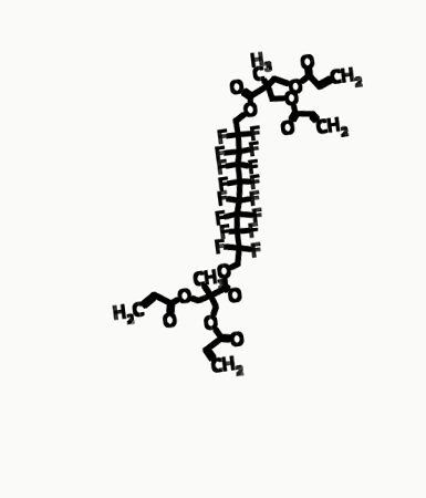 C=CC(=O)OCC(C)(COC(=O)C=C)C(=O)OCC(F)(F)C(F)(F)C(F)(F)C(F)(F)C(F)(F)C(F)(F)C(F)(F)C(F)(F)COC(=O)C(C)(COC(=O)C=C)COC(=O)C=C